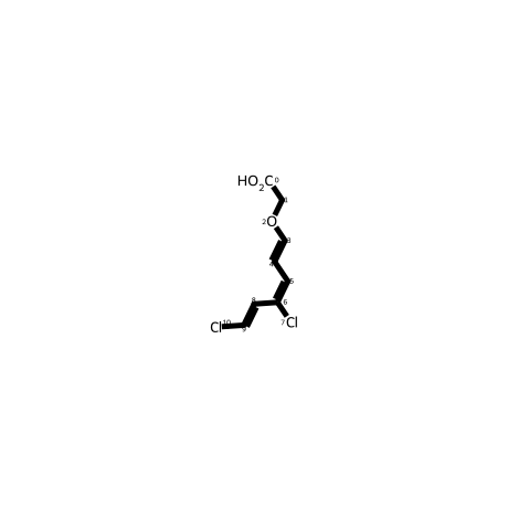 O=C(O)CO/C=C/C=C(Cl)\C=C\Cl